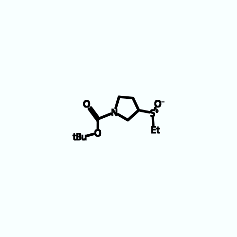 CC[S+]([O-])C1CCN(C(=O)OC(C)(C)C)C1